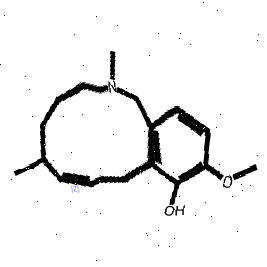 COc1ccc2c(c1O)C/C=C\C(C)CCCN(C)C2